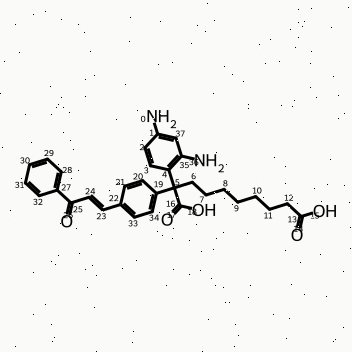 Nc1ccc(C(CCCCCCCC(=O)O)(C(=O)O)c2ccc(C=CC(=O)c3ccccc3)cc2)c(N)c1